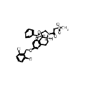 CS(=O)(=O)CC(=O)N1CC[C@@]2(S(=O)(=O)c3ccccc3)c3ccc(OCc4c(Cl)cccc4Cl)cc3CC[C@@H]12